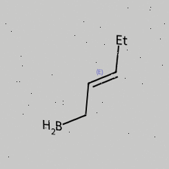 BC/C=C/CC